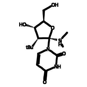 C[SiH](C)[C@@]1(n2ccc(=O)[nH]c2=O)O[C@H](CO)[C@@H](O)[C@H]1C(C)(C)C